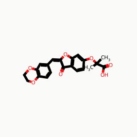 CC(C)(Oc1ccc2c(c1)OC(=Cc1ccc3c(c1)OCCO3)C2=O)C(=O)O